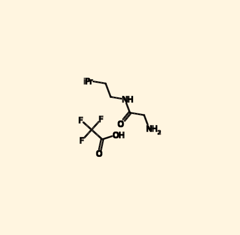 CC(C)CCNC(=O)CN.O=C(O)C(F)(F)F